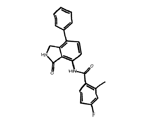 Cc1cc(F)ccc1C(=O)Nc1ccc(-c2ccccc2)c2c1C(=O)NC2